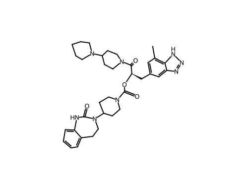 Cc1cc(C[C@@H](OC(=O)N2CCC(N3CCc4ccccc4NC3=O)CC2)C(=O)N2CCC(N3CCCCC3)CC2)cc2nn[nH]c12